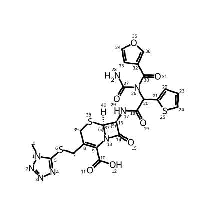 Cn1nnnc1SCC1=C(C(=O)O)N2C(=O)[C@H](NC(=O)C(c3cccs3)N(C(N)=O)C(=O)c3ccoc3)[C@@H]2SC1